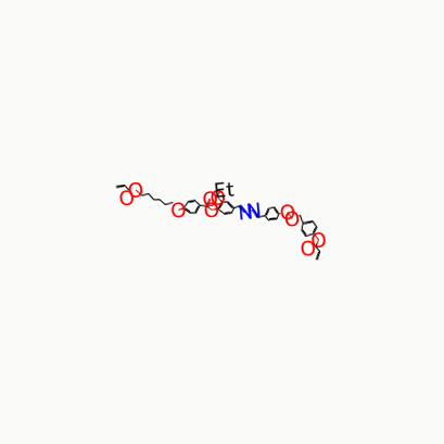 C=CC(=O)OCCCCCCOc1ccc(C(=O)Oc2ccc(/C=N/N=C/c3ccc(OOCc4ccc(OC(=O)C=C)cc4)cc3)cc2OCC)cc1